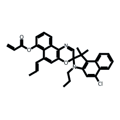 C=CC(=O)Oc1cccc2c3c(cc(/C=C/C)c12)OC1(C=N3)N(CCC)c2cc(Cl)c3ccccc3c2C1(C)C